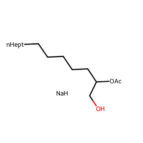 CCCCCCCCCCCCC(CO)OC(C)=O.[NaH]